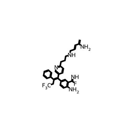 C=C(N)/C=C/CNCCCc1ccc(/C(=C(/CC(F)(F)F)c2ccccc2)c2ccc(N)c(C(=N)F)c2)cn1